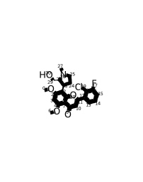 COc1cc(OC)c2c(=O)cc(-c3cccc(F)c3Cl)oc2c1[C@@H]1CCN(C)[C@H]1CO